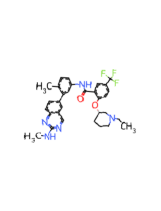 CCN1CCC[C@H](Oc2ccc(C(F)(F)F)cc2C(=O)Nc2ccc(C)c(-c3ccc4nc(NC)ncc4c3)c2)C1